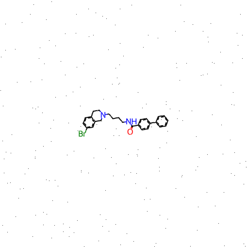 O=C(NCCCCN1CCc2ccc(Br)cc2C1)c1ccc(-c2ccccc2)cc1